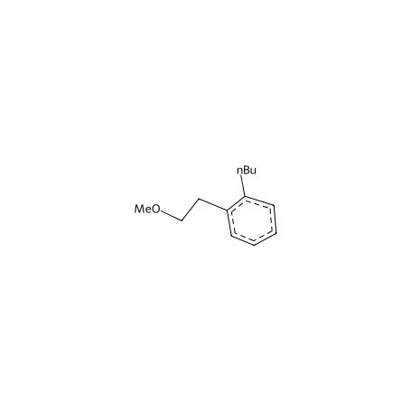 CCCCc1ccccc1CCOC